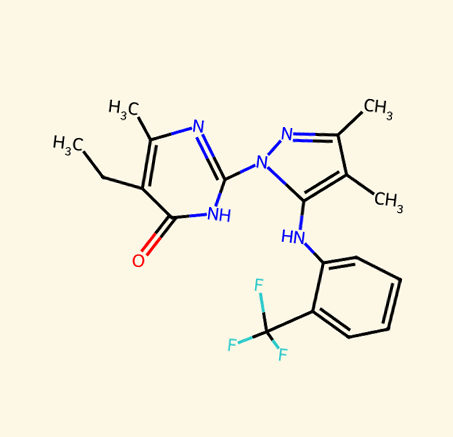 CCc1c(C)nc(-n2nc(C)c(C)c2Nc2ccccc2C(F)(F)F)[nH]c1=O